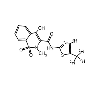 [2H]c1nc(NC(=O)C2=C(O)c3ccccc3S(=O)(=O)N2C)sc1C([2H])([2H])[2H]